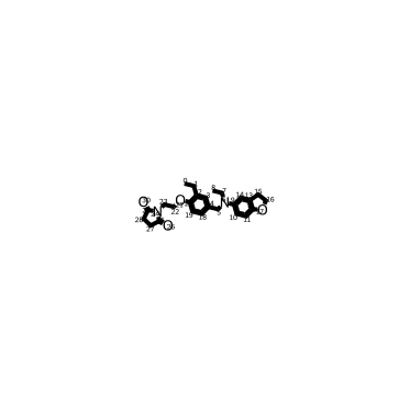 CCc1cc(CN(CC)c2ccc3c(c2)CCO3)ccc1OCCN1C(=O)CCC1=O